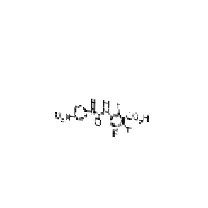 O=C(Nc1ccc([N+](=O)[O-])cc1)Nc1cc(F)c(F)c(C(=O)O)c1F